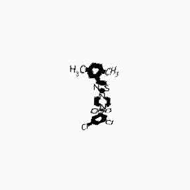 Cc1ccc(C)c(-c2csc(N3CCN(S(=O)(=O)c4cc(Cl)cc(Cl)c4)CC3)n2)c1